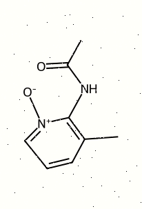 CC(=O)Nc1c(C)ccc[n+]1[O-]